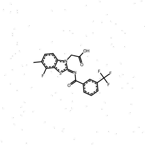 Cc1ccc2c(sc(=NC(=O)c3cccc(C(F)(F)F)c3)n2CC(=O)O)c1F